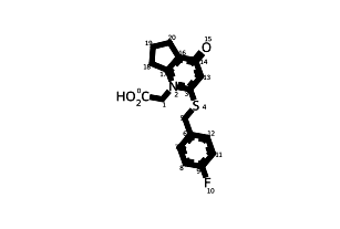 O=C(O)Cn1c(SCc2ccc(F)cc2)cc(=O)c2c1CCC2